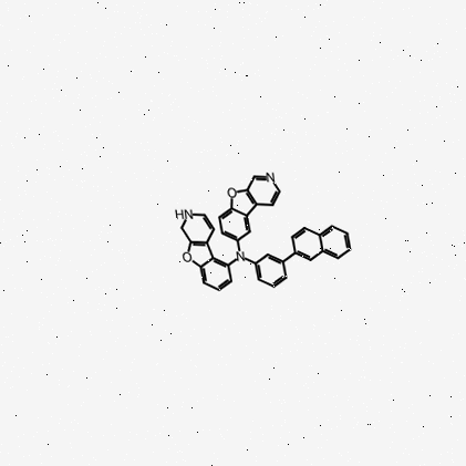 C1=Cc2c(oc3cccc(N(c4cccc(-c5ccc6ccccc6c5)c4)c4ccc5oc6cnccc6c5c4)c23)CN1